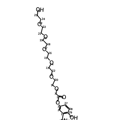 CCCCCCCCCc1cc(OC(=O)COCCOCCOCCOCCOCCOCCO)ccc1O